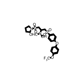 O=CN(O)C(CS(=O)(=O)c1ccc(Oc2ccc(OC(F)(F)F)cc2)cc1)CS(=O)(=O)N1CCCC1